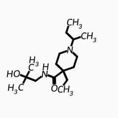 CCC(C)N1CCC(CC)(C(=O)NCC(C)(C)O)CC1